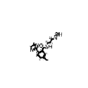 Cc1ccc(-n2nccn2)c(C(=O)NCCC=NO)c1